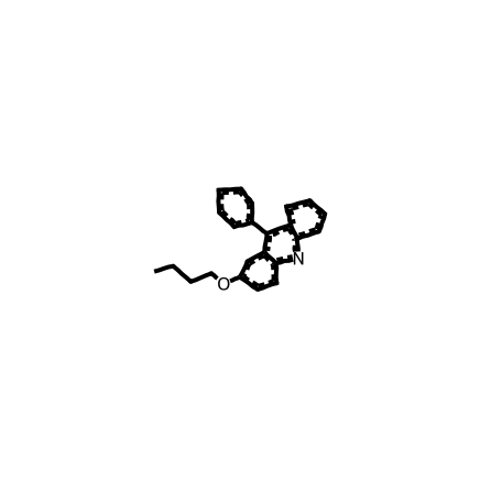 CCCCOc1ccc2nc3ccccc3c(-c3ccccc3)c2c1